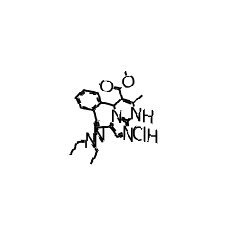 CCN(CC)Cc1cnc2n1C(c1ccccc1C#N)C(C(=O)OC)=C(C)N2.Cl